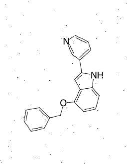 c1ccc(COc2cccc3[nH]c(-c4cccnc4)cc23)cc1